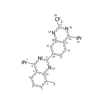 Cc1cccc2c(C(C)C)nc(-c3ccc4c(C(C)C)nc(C(F)(F)F)nc4c3)nc12